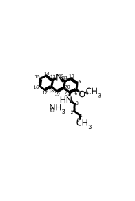 CCCCNc1c(OC)ccc2nc3ccccc3cc12.N